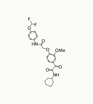 COc1cc(C(=O)C(=O)NC2CCCCC2)ccc1OCC(=O)Nc1ccc(OC(F)F)cc1